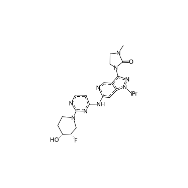 CC(C)n1nc(N2CCN(C)C2=O)c2cnc(Nc3ccnc(N4CC[C@@H](O)[C@@H](F)C4)n3)cc21